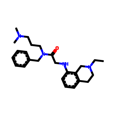 CCN1CCc2cccc(NCC(=O)N(CCCN(C)C)Cc3ccccc3)c2C1